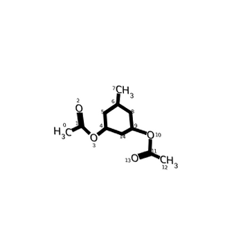 CC(=O)OC1CC(C)CC(OC(C)=O)C1